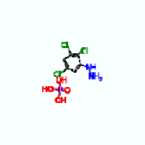 NNc1cc(Cl)cc(Cl)c1Cl.O=P(O)(O)O